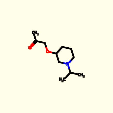 CC(=O)COC1CCCN(C(C)C)C1